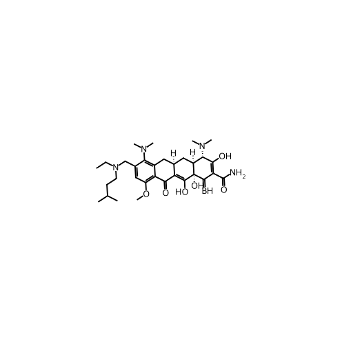 B=C1C(C(N)=O)=C(O)[C@@H](N(C)C)[C@@H]2C[C@@H]3Cc4c(c(OC)cc(CN(CC)CCC(C)C)c4N(C)C)C(=O)C3=C(O)[C@]12O